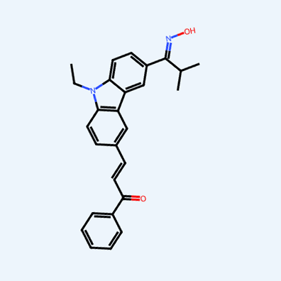 CCn1c2ccc(C=CC(=O)c3ccccc3)cc2c2cc(C(=NO)C(C)C)ccc21